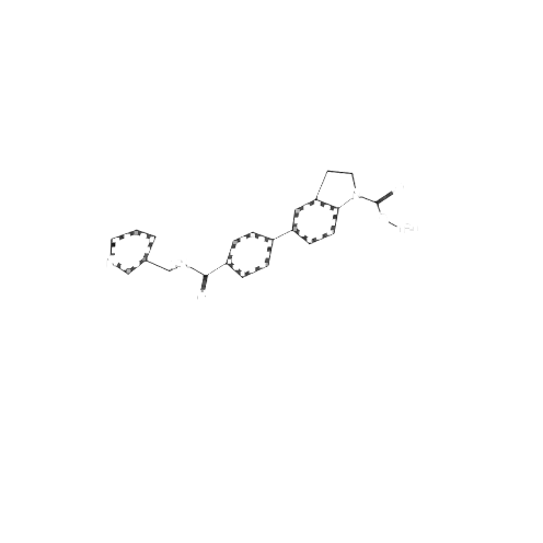 CC(C)(C)OC(=O)N1CCc2cc(-c3ccc(C(=O)NCc4cccnc4)cc3)ccc21